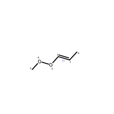 C/C=C/OOC